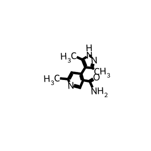 Cc1cc(-c2c(C)n[nH]c2C)c(C(N)=O)cn1